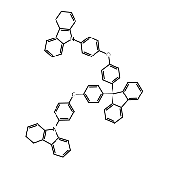 C1=Cc2c(c3ccccc3n2-c2ccc(Oc3ccc(C4(c5ccc(Oc6ccc(-n7c8c(c9ccccc97)CCC=C8)cc6)cc5)c5ccccc5-c5ccccc54)cc3)cc2)CC1